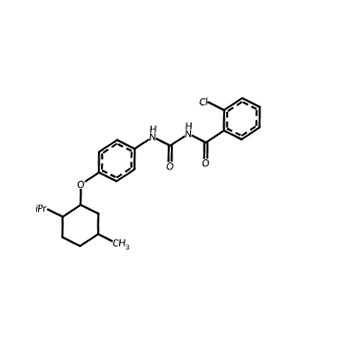 CC1CCC(C(C)C)C(Oc2ccc(NC(=O)NC(=O)c3ccccc3Cl)cc2)C1